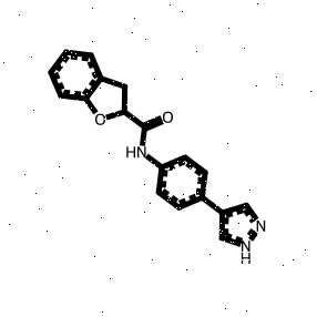 O=C(Nc1ccc(-c2cn[nH]c2)cc1)C1Cc2ccccc2O1